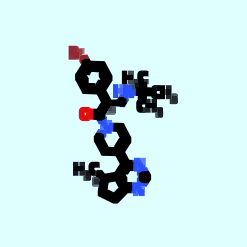 C[C@@H]1CCc2ncnc(C3=CCN(C(=O)[C@H](CNC(C)(C)C)c4ccc(Br)cc4)CC3)c21